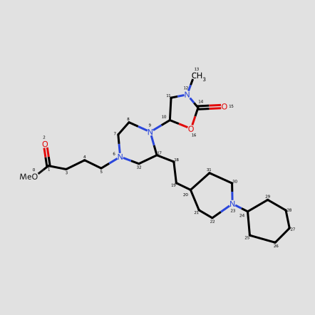 COC(=O)CCCN1CCN(C2CN(C)C(=O)O2)C(CCC2CCN(C3CCCCC3)CC2)C1